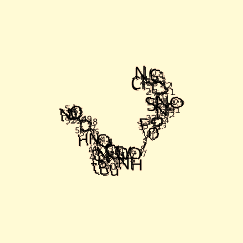 CC(C)(C)C(NC(=O)COCC#CCOc1ccc(N2C(=S)N(c3ccc(C#N)c(Cl)c3)C(=O)C2(C)C)cc1F)C(=O)N1CCC[C@H]1C(=O)NCc1ccc(-c2cnco2)cc1